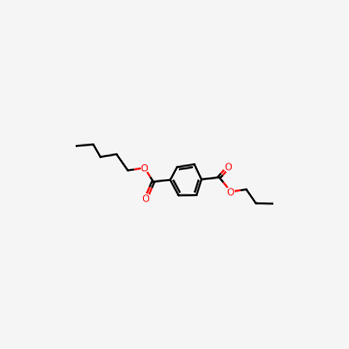 CCCCCOC(=O)c1ccc(C(=O)OCCC)cc1